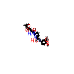 COc1ccc(/C=C/[C@@H](O)c2cccc(NC(=O)CCC(=O)OC(C)(C)C)n2)cc1OC